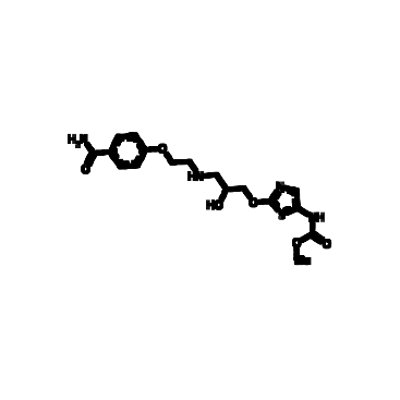 CC(C)(C)OC(=O)Nc1cnc(OCC(O)CNCCOc2ccc(C(N)=O)cc2)s1